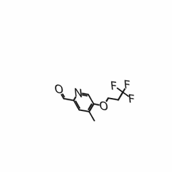 Cc1cc(C=O)ncc1OCCC(F)(F)F